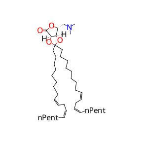 CCCCC/C=C\C/C=C\CCCCCCCCC1(CCCCCCCC/C=C\C/C=C\CCCCC)O[C@@H]2[C@@H](CN(C)C)OC(=O)[C@@H]2O1